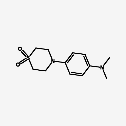 CN(C)c1ccc(N2CCS(=O)(=O)CC2)cc1